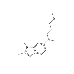 COCCCN(C)c1ccc2nc(C)n(C)c2c1